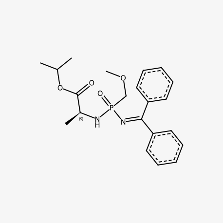 COCP(=O)(N=C(c1ccccc1)c1ccccc1)N[C@@H](C)C(=O)OC(C)C